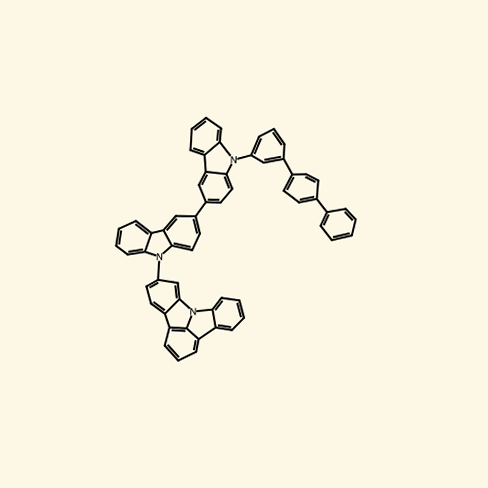 c1ccc(-c2ccc(-c3cccc(-n4c5ccccc5c5cc(-c6ccc7c(c6)c6ccccc6n7-c6ccc7c8cccc9c%10ccccc%10n(c7c6)c98)ccc54)c3)cc2)cc1